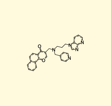 O=c1c(CN(CCCn2cnc3ncccc32)Cc2ccncc2)coc2c1ccc1ccccc12